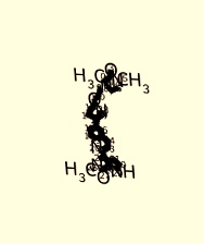 C[C@@H]1C(=O)N(C)CCN1CCOc1ccc(-c2ccc3nc(-c4cn(C)c(=O)c5[nH]ccc45)ccc3c2)cn1